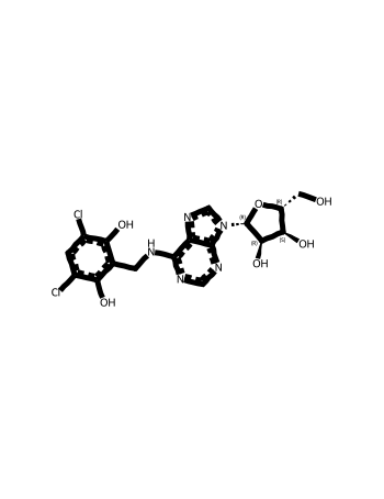 OC[C@H]1O[C@@H](n2cnc3c(NCc4c(O)c(Cl)cc(Cl)c4O)ncnc32)[C@H](O)[C@@H]1O